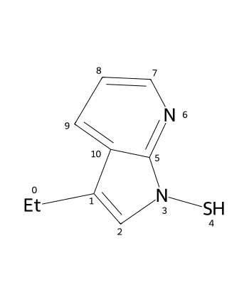 CCc1cn(S)c2ncccc12